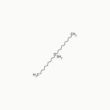 CCCCCCCCCCOCCCCCCCCCC.S